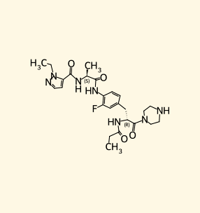 CCC(=O)N[C@H](Cc1ccc(NC(=O)[C@H](C)NC(=O)c2ccnn2CC)c(F)c1)C(=O)N1CCNCC1